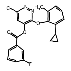 Cc1cccc(C2CC2)c1Oc1nnc(Cl)cc1OC(=O)c1cccc(F)c1